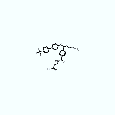 CCCCC(Oc1ccc(-c2ccc(C(F)(F)F)cc2)cc1)c1ccc(C(=O)NCCC(=O)O)cc1